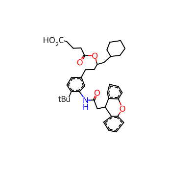 CC(C)(C)c1ccc(CCC(CC2CCCCC2)OC(=O)CCCC(=O)O)cc1NC(=O)CC1c2ccccc2Oc2ccccc21